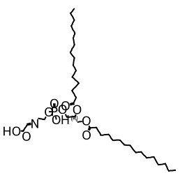 CCCCCCCCCCCCCCCC(=O)OC[C@H](COP(=O)(O)OCCN=CC(=O)O)OC(=O)CCCCCCCCCCCCCCC